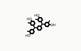 Cc1cc(C(c2cccc(C(c3ccc(O)c(C)c3)c3ccc(O)c(C)c3)c2)c2ccc(O)c(C)c2)ccc1O